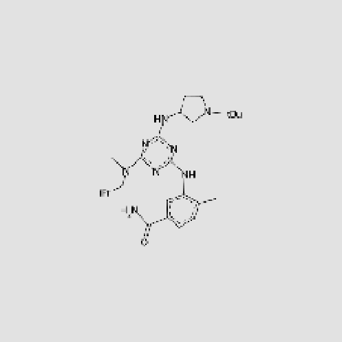 Cc1ccc(C(N)=O)cc1Nc1nc(NC2CCN(C(C)(C)C)C2)nc(N(C)CC(C)C)n1